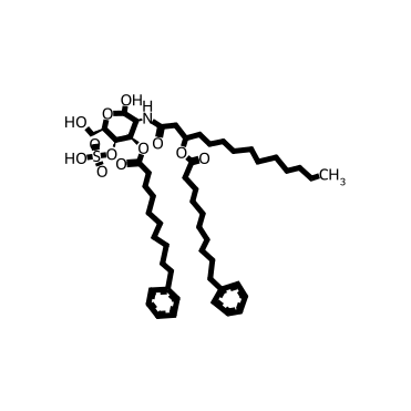 CCCCCCCCCCCC(CC(=O)N[C@H]1C(O)O[C@H](CO)[C@@H](OS(=O)(=O)O)[C@@H]1OC(=O)CCCCCCCCCc1ccccc1)OC(=O)CCCCCCCCCc1ccccc1